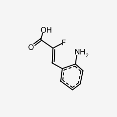 Nc1ccccc1C=C(F)C(=O)O